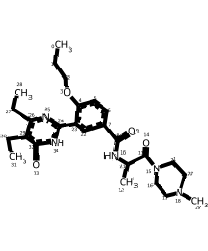 CCCOc1ccc(C(=O)NC(C)C(=O)N2CCN(C)CC2)cc1-c1nc(CC)c(CC)c(=O)[nH]1